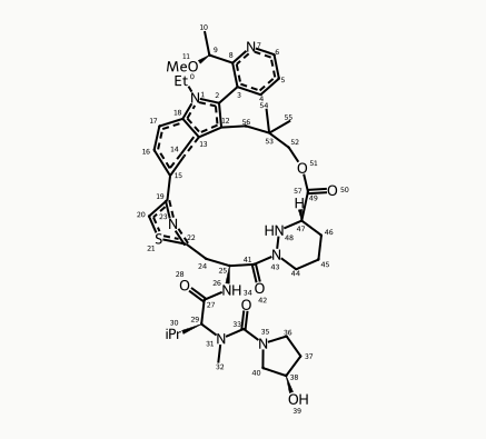 CCn1c(-c2cccnc2[C@H](C)OC)c2c3cc(ccc31)-c1csc(n1)C[C@H](NC(=O)[C@H](C(C)C)N(C)C(=O)N1CC[C@@H](O)C1)C(=O)N1CCC[C@H](N1)C(=O)OCC(C)(C)C2